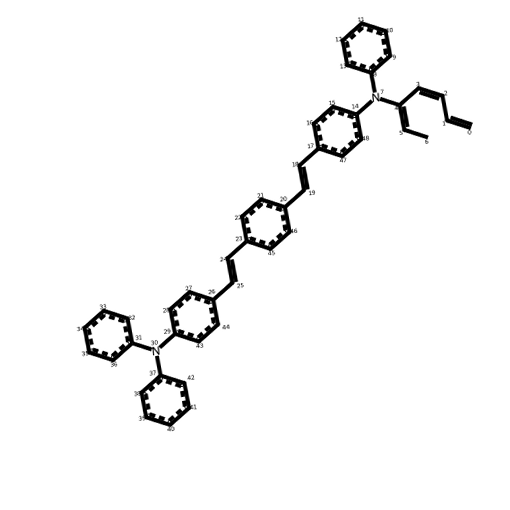 C=C/C=C\C(=C/C)N(c1ccccc1)c1ccc(/C=C/c2ccc(/C=C/c3ccc(N(c4ccccc4)c4ccccc4)cc3)cc2)cc1